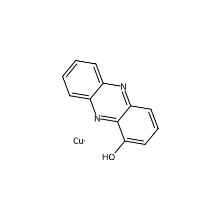 Oc1cccc2nc3ccccc3nc12.[Cu]